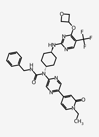 CCn1ccc(-c2cnc(N(C(=O)NCc3ccccc3)[C@H]3CC[C@H](Nc4ncc(C(F)(F)F)c(OC5COC5)n4)CC3)cn2)cc1=O